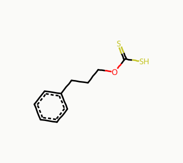 S=C(S)OCCCc1ccccc1